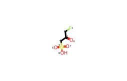 O=C(CF)CS(=O)(=O)O